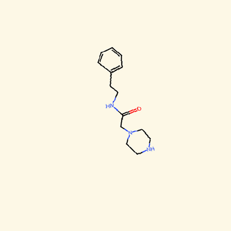 O=C(CN1CCNCC1)NCCc1ccccc1